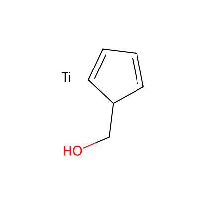 OCC1C=CC=C1.[Ti]